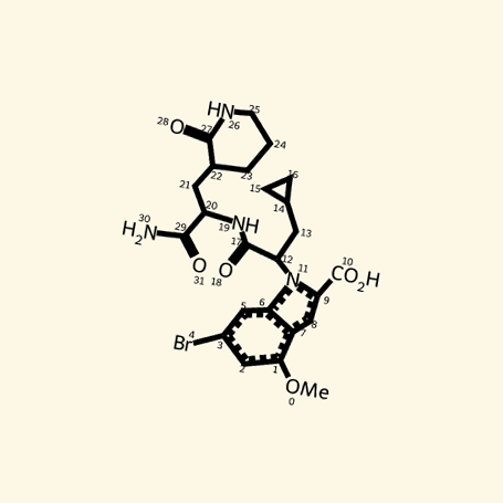 COc1cc(Br)cc2c1cc(C(=O)O)n2C(CC1CC1)C(=O)NC(CC1CCCNC1=O)C(N)=O